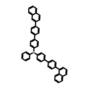 c1ccc(N(c2ccc(-c3ccc(-c4ccc5ccccc5c4)cc3)cc2)c2ccc(-c3ccc(-c4cccc5ccccc45)cc3)cc2)cc1